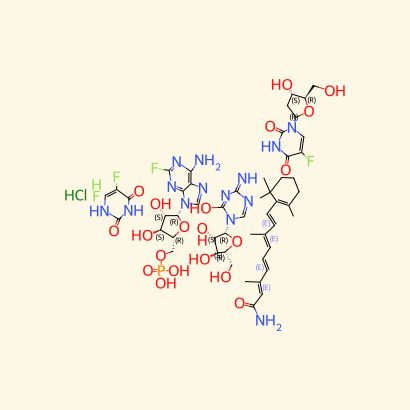 CC1=C(/C=C/C(C)=C/C=C/C(C)=C/C(N)=O)C(C)(C)CCC1.Cl.F.N=c1ncn([C@@H]2O[C@H](CO)[C@@H](O)[C@@H]2O)c(O)n1.Nc1nc(F)nc2c1ncn2[C@@H]1O[C@H](COP(=O)(O)O)[C@@H](O)[C@@H]1O.O=c1[nH]c(=O)n([C@H]2C[C@H](O)[C@@H](CO)O2)cc1F.O=c1[nH]cc(F)c(=O)[nH]1